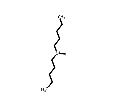 CCCCC[O+](I)CCCCC